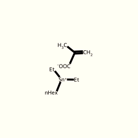 C=C(C)C(=O)[O-].CCCCC[CH2][Sn+]([CH2]C)[CH2]C